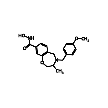 COc1ccc(CN2Cc3ccc(C(=O)NO)cc3OCC2C)cc1